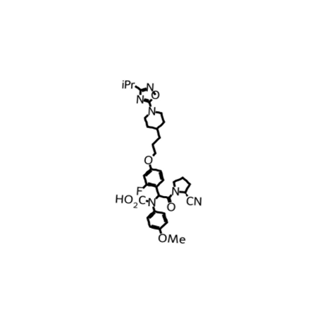 COc1ccc(N(C(=O)O)C(C(=O)N2CCC[C@H]2C#N)c2ccc(OCCCC3CCN(c4nc(C(C)C)no4)CC3)cc2F)cc1